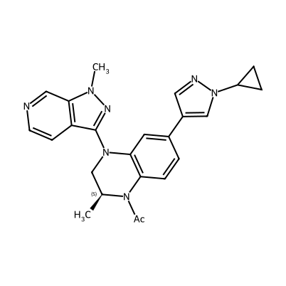 CC(=O)N1c2ccc(-c3cnn(C4CC4)c3)cc2N(c2nn(C)c3cnccc23)C[C@@H]1C